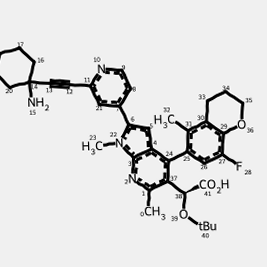 Cc1nc2c(cc(-c3ccnc(C#CC4(N)CCCCC4)c3)n2C)c(-c2cc(F)c3c(c2C)CCCO3)c1[C@H](OC(C)(C)C)C(=O)O